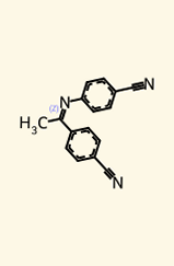 C/C(=N/c1ccc(C#N)cc1)c1ccc(C#N)cc1